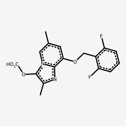 Cc1cc(OCc2c(F)cccc2F)c2nc(C)c(OC(=O)O)n2c1